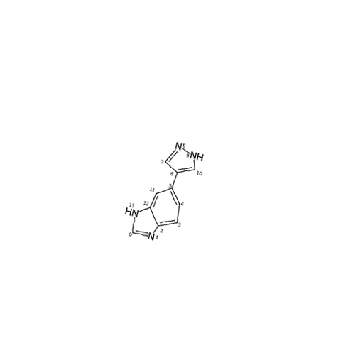 c1nc2ccc(-c3cn[nH]c3)cc2[nH]1